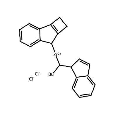 CCC(C)[CH]([Zr+2][CH]1C2=C(CC2)c2ccccc21)C1C=Cc2ccccc21.[Cl-].[Cl-]